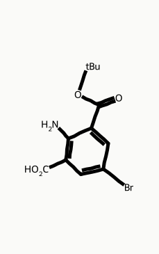 CC(C)(C)OC(=O)c1cc(Br)cc(C(=O)O)c1N